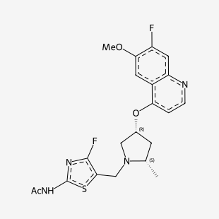 COc1cc2c(O[C@@H]3C[C@H](C)N(Cc4sc(NC(C)=O)nc4F)C3)ccnc2cc1F